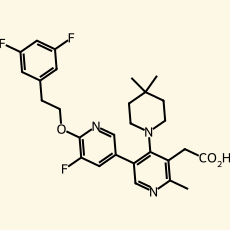 Cc1ncc(-c2cnc(OCCc3cc(F)cc(F)c3)c(F)c2)c(N2CCC(C)(C)CC2)c1CC(=O)O